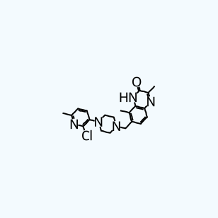 Cc1ccc(N2CCN(Cc3ccc4nc(C)c(=O)[nH]c4c3C)CC2)c(Cl)n1